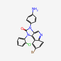 Nc1ccc(-n2c(=O)n(-c3ccccc3Cl)c3c4cc(Br)ccc4ncc32)cc1